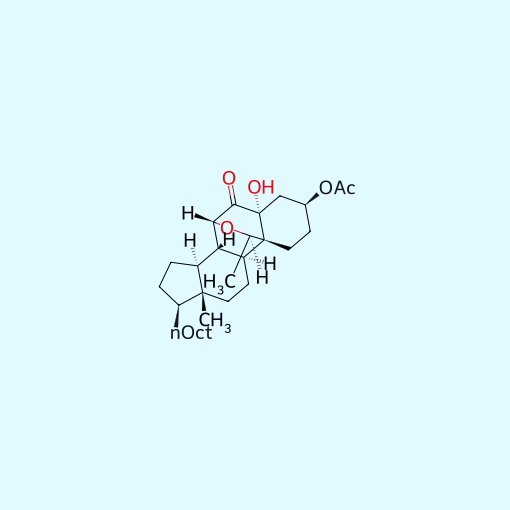 CCCCCCCC[C@H]1CC[C@H]2[C@@H]3[C@H]4O[C@H](C)[C@@]5(CC[C@H](OC(C)=O)C[C@]5(O)C4=O)[C@H]3CC[C@]12C